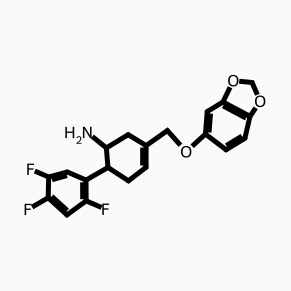 NC1CC(COc2ccc3c(c2)OCO3)=CCC1c1cc(F)c(F)cc1F